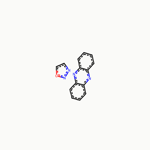 c1ccc2nc3ccccc3nc2c1.c1conn1